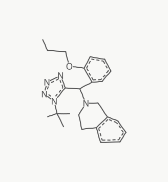 CCCOc1ccccc1C(c1nnnn1C(C)(C)C)N1CCc2ccccc2C1